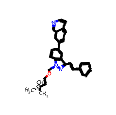 C[Si](C)(C)CCOCn1nc(/C=C/c2ccccc2)c2cc(-c3ccc4ccncc4c3)ccc21